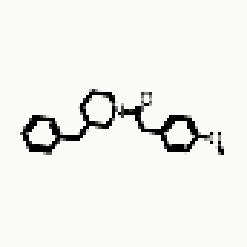 COc1ccc(CC(=O)N2CCCC(Cc3ccccc3)C2)cc1